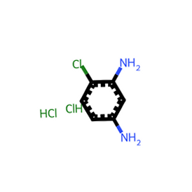 Cl.Cl.Nc1ccc(Cl)c(N)c1